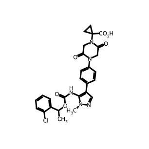 CC(OC(=O)Nc1c(-c2ccc(N3CC(=O)N(C4(C(=O)O)CC4)CC3=O)cc2)cnn1C)c1ccccc1Cl